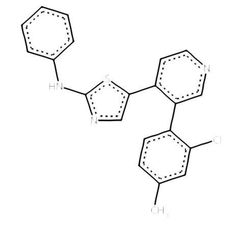 Cc1ccc(-c2cnccc2-c2cnc(Nc3ccccc3)s2)c(Cl)c1